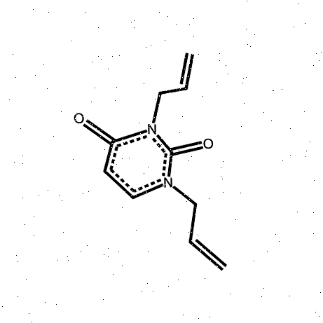 C=CCn1ccc(=O)n(CC=C)c1=O